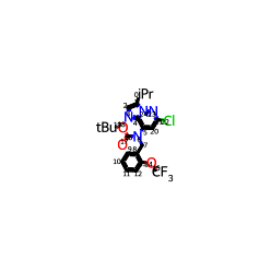 CC(C)c1cnc2c(N(Cc3ccccc3OC(F)(F)F)C(=O)OC(C)(C)C)cc(Cl)nn12